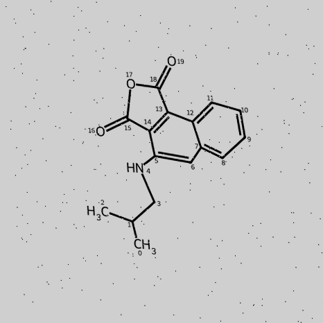 CC(C)CNc1cc2ccccc2c2c1C(=O)OC2=O